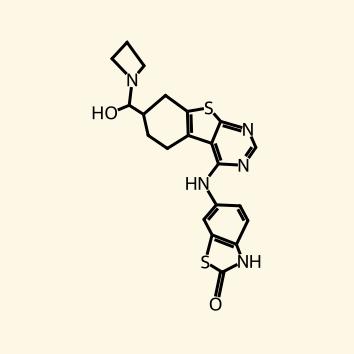 O=c1[nH]c2ccc(Nc3ncnc4sc5c(c34)CCC(C(O)N3CCC3)C5)cc2s1